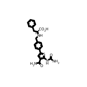 NC(=O)Nc1sc(-c2ccc(CN[C@@H](Cc3ccccc3)C(=O)O)cc2)cc1C(N)=O